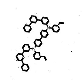 C=Cc1cccc(N(c2ccc(-c3ccc(N(c4cccc(C=C)c4)c4cccc(-c5cccc(-c6ccccc6)c5)c4)cc3)cc2)c2cccc(-c3cccc(-c4ccccc4)c3)c2)c1